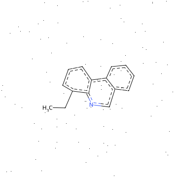 CCc1cccc2c1ncc1ccccc12